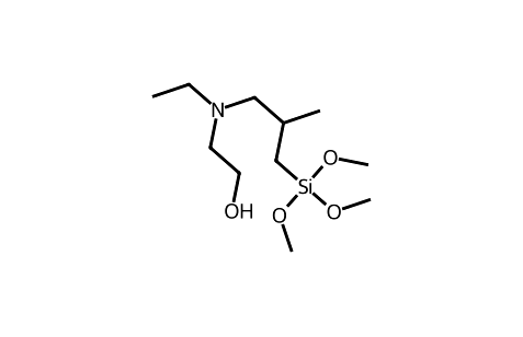 CCN(CCO)CC(C)C[Si](OC)(OC)OC